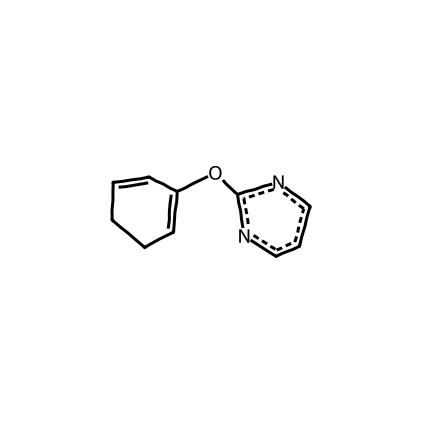 C1=CC(Oc2ncccn2)=CCC1